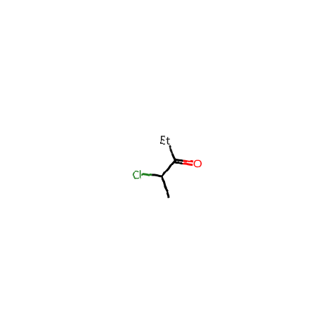 CCC(=O)C(C)Cl